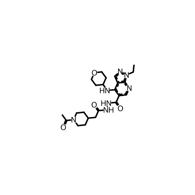 CCn1ncc2c(NC3CCOCC3)c(C(=O)NNC(=O)CC3CCN(C(C)=O)CC3)cnc21